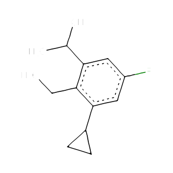 CCc1c(C(C)C)cc(F)cc1C1CC1